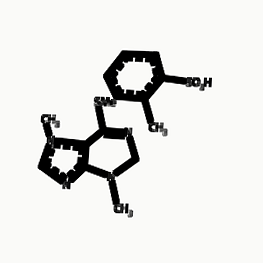 CSC1=NCN(C)c2ncn(C)c21.Cc1ccccc1S(=O)(=O)O